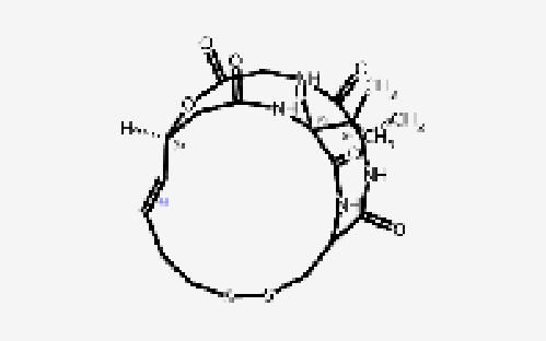 CC(C)[C@H]1NC(=O)C[C@H]2/C=C/CCSSCC(NC1=O)C(=O)N[C@@H](C)C(=O)NCC(=O)O2